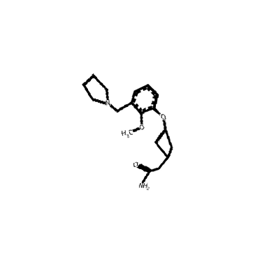 COc1c(CN2CCCC2)cccc1OC1CC(CC(N)=O)C1